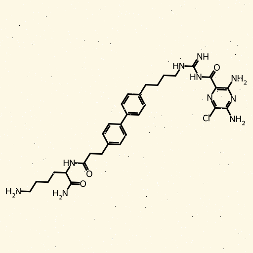 N=C(NCCCCc1ccc(-c2ccc(CCC(=O)NC(CCCCN)C(N)=O)cc2)cc1)NC(=O)c1nc(Cl)c(N)nc1N